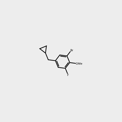 COc1c(F)cc(CC2CC2)cc1Br